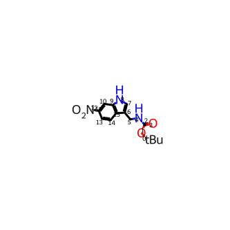 CC(C)(C)OC(=O)NCc1c[nH]c2cc([N+](=O)[O-])ccc12